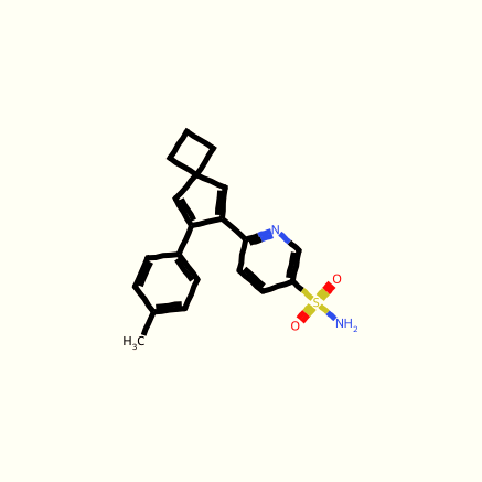 Cc1ccc(C2=CC3(C=C2c2ccc(S(N)(=O)=O)cn2)CCC3)cc1